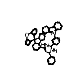 C1=C(c2cccc3c2-c2ccccc2C32c3ccccc3Oc3ccccc32)NC(c2cccc(-n3c4ccccc4c4ccccc43)c2)NC1c1ccccc1